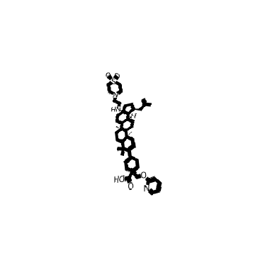 C=C(C)C[C@@H]1CC[C@]2(NCCN3CCS(=O)(=O)CC3)CCC3[C@H](CCC4[C@@]3(C)CCC3C(C)(C)C(C5=CCC(COc6ccccn6)(C(=O)O)CC5)=CC[C@@]34C)C12